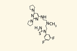 CN(CCNc1cc(N2CCCC2)nc(N2CCCC2)n1)CCN(C(N)=S)c1cc(F)cc(F)c1